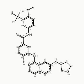 COc1ccc(NC(=O)c2ccc(F)c(Nc3ncnc4cnc(NC5CCOC5)nc34)c2)cc1C(F)(F)F